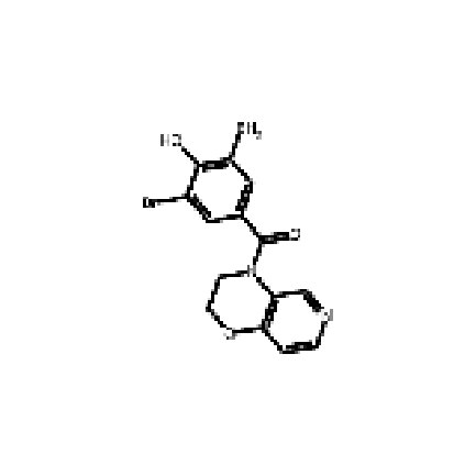 Bc1cc(C(=O)N2CCOc3ccncc32)cc(Br)c1O